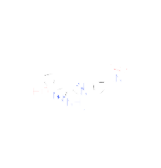 CN(CCc1ccc(Cn2cc(-c3cc(-c4ccccc4O)nnc3N)cn2)cc1)C(=O)OC(C)(C)C